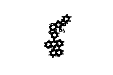 C=Cc1oc2cc(-c3c4ccccc4c(-c4cccc5ccccc45)c4ccccc34)ccc2c1-c1ccc2c(oc3ccccc32)c1C